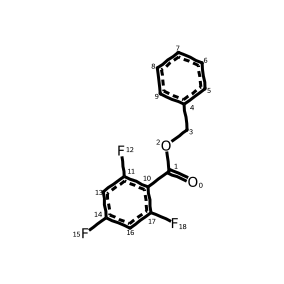 O=C(OCc1ccccc1)c1c(F)cc(F)cc1F